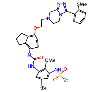 CCS(=O)(=O)Nc1cc(C(C)(C)C)cc(NC(=O)Nc2ccc(OCCN3CCn4c(nnc4-c4ccccc4SC)C3)c3c2CCC3)c1OC